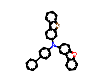 c1ccc(-c2ccc(N(c3ccc4c(c3)sc3ccccc34)c3ccc4oc5ccccc5c4c3)cc2)cc1